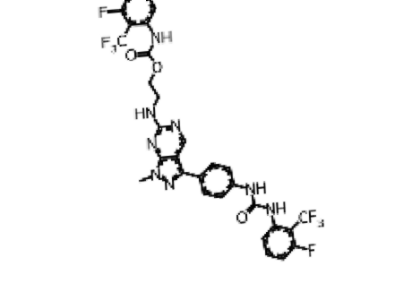 Cn1nc(-c2ccc(NC(=O)Nc3cccc(F)c3C(F)(F)F)cc2)c2cnc(NCCOC(=O)Nc3cccc(F)c3C(F)(F)F)nc21